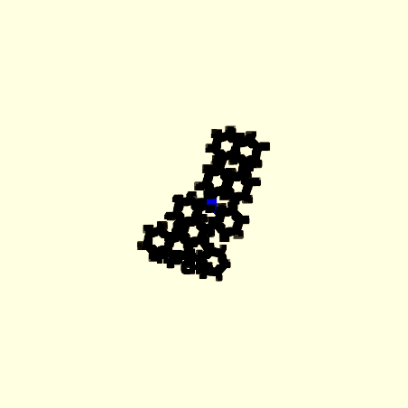 CC1(C)c2ccccc2-c2c(-c3ccccc3N(c3ccc(-c4cccc5cccc(-c6ccccc6)c45)cc3)c3cccc(-c4cccc5ccccc45)c3)cccc21